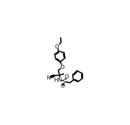 CCOc1ccc(OCC(C)(C#N)NS(=O)(=O)Cc2ccccc2)cc1